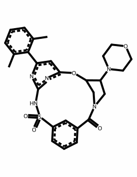 Cc1cccc(C)c1-c1cc2nc(n1)NS(=O)(=O)c1cccc(c1)C(=O)N1CC(O2)C(N2CCOCC2)C1